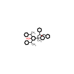 CC(c1ccccc1)c1cc(C(C)(CC(CCc2ccccc2)c2ccccc2)c2ccccc2)cc(C(C)c2ccccc2)c1O